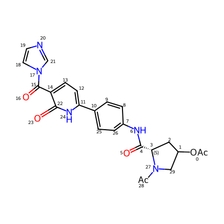 CC(=O)OC1C[C@@H](C(=O)Nc2ccc(-c3ccc(C(=O)n4ccnc4)c(=O)[nH]3)cc2)N(C(C)=O)C1